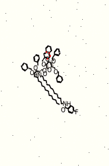 CCCCCCCCCCCCCC[C@@H](OCc1ccccc1)[C@@H](OCc1ccccc1)[C@H](CO[C@H]1O[C@H](COCc2ccccc2)[C@H](OCc2ccccc2)[C@H](OCc2ccccc2)[C@H]1OCc1ccccc1)NC(=O)CCCCCCCCCCCNC(=O)c1ccc(F)cc1